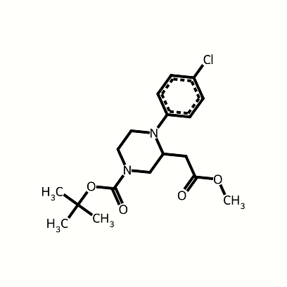 COC(=O)CC1CN(C(=O)OC(C)(C)C)CCN1c1ccc(Cl)cc1